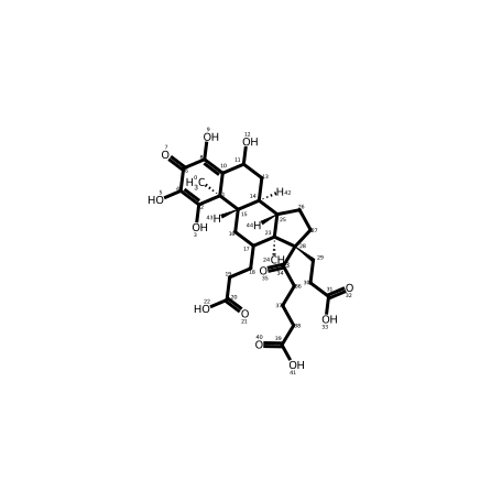 C[C@]12C(O)=C(O)C(=O)C(O)=C1C(O)C[C@@H]1[C@@H]2CC(CCC(=O)O)[C@@]2(C)[C@H]1CC[C@]2(CCC(=O)O)C(=O)CCCC(=O)O